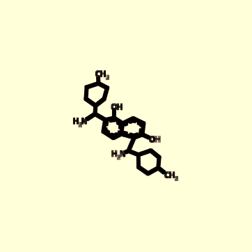 CC1CCC(C(N)c2ccc3c(C(N)C4CCC(C)CC4)c(O)ccc3c2O)CC1